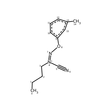 CCCC[N+](C#N)=NOc1cccc(C)c1